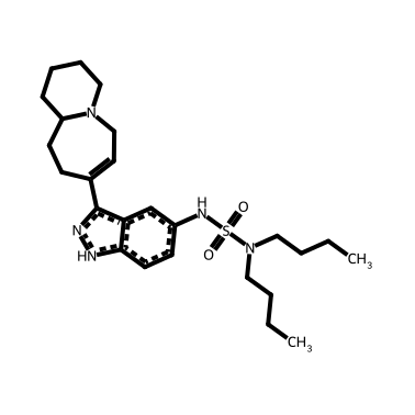 CCCCN(CCCC)S(=O)(=O)Nc1ccc2[nH]nc(C3=CCN4CCCCC4CC3)c2c1